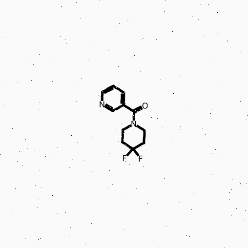 O=C(c1cccnc1)N1CCC(F)(F)CC1